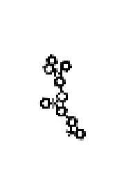 CC1(C)c2ccccc2-c2ccc(-c3ccc4c(c3)C3CCC(c5ccc(N(C6=c7ccccc7=CCC6)c6ccccc6)cc5)CC3N4c3ccccc3)cc21